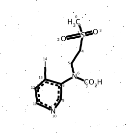 CS(=O)(=O)CCN(C(=O)O)c1cnccc1I